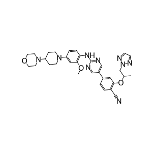 COc1cc(N2CCC(N3CCOCC3)CC2)ccc1Nc1ncc(-c2ccc(C#N)c(OC(C)Cn3nccn3)c2)cn1